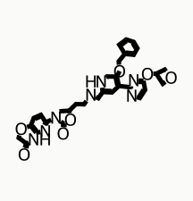 O=C1COc2ccc(N3CC(CCNCc4cc(-c5nccc(OC6COC6)n5)c(OCc5ccccc5)cn4)OC3=O)nc2N1